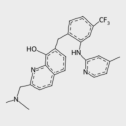 Cc1ccnc(Nc2cc(C(F)(F)F)ccc2Cc2ccc3ccc(CN(C)C)nc3c2O)c1